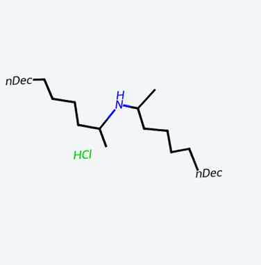 CCCCCCCCCCCCCCC(C)NC(C)CCCCCCCCCCCCCC.Cl